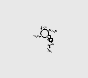 NOCC(=O)Nc1ccc(CC2CN(CC(=O)O)CCN(CC(=O)O)CCN(CC(=O)O)CCN2CC(=O)O)cc1